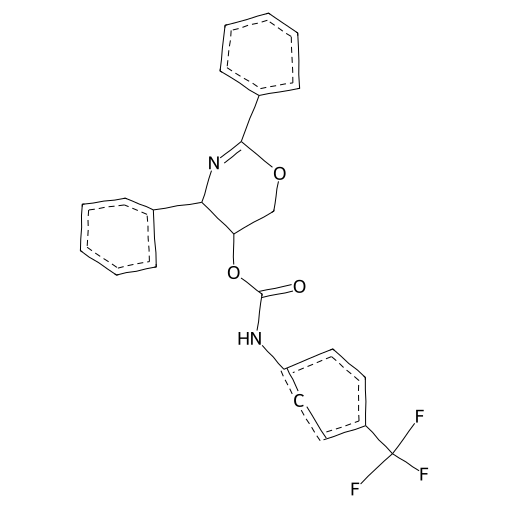 O=C(Nc1ccc(C(F)(F)F)cc1)OC1COC(c2ccccc2)=NC1c1ccccc1